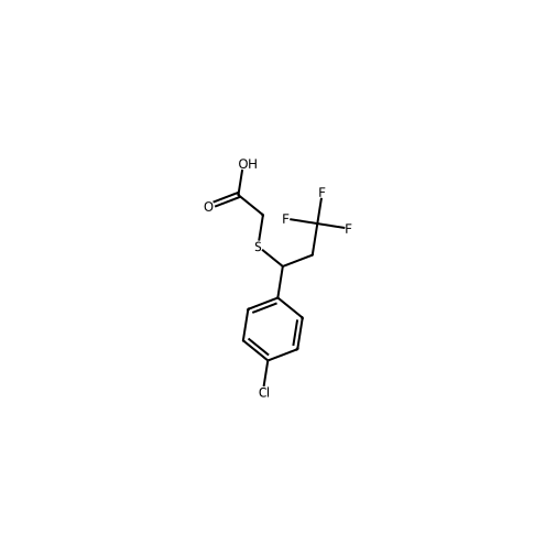 O=C(O)CSC(CC(F)(F)F)c1ccc(Cl)cc1